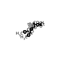 CCS(=O)(=O)c1ccc(C(C(=O)Nc2ccc(-c3nc4ccc(C)cc4n3[C@@H](C)c3ccc(C)cc3)cc2)N(C(=O)O)C(C)(C)C)cc1